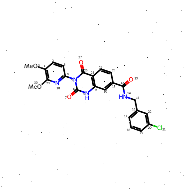 COc1ccc(-n2c(=O)[nH]c3cc(C(=O)NCc4cccc(Cl)c4)ccc3c2=O)nc1OC